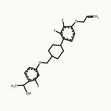 C=CCOc1ccc(C2CCC(COc3ccc(C(C)O)c(F)c3)CC2)c(F)c1F